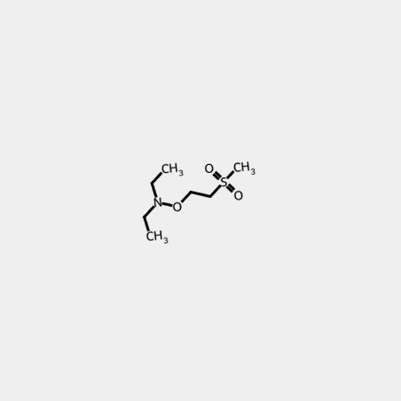 CCN(CC)OCCS(C)(=O)=O